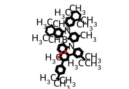 Cc1ccc2c(c1)N(c1ccc(C(C)(C)C)cc1-c1cccc(-c3ccc(C(C)(C)C)cc3)c1)c1cc(C)cc3c1B2c1cc2c(cc1N3c1ccc3c(c1)C(C)(C)CCC3(C)C)C(C)(C)CCC2(C)C